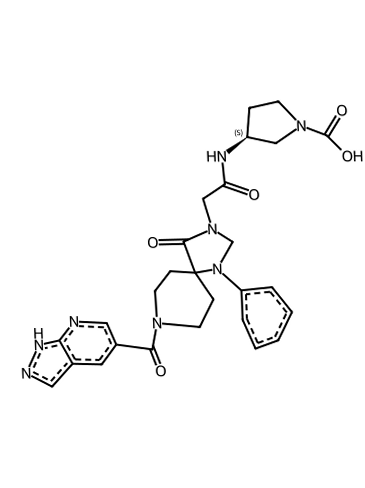 O=C(CN1CN(c2ccccc2)C2(CCN(C(=O)c3cnc4[nH]ncc4c3)CC2)C1=O)N[C@H]1CCN(C(=O)O)C1